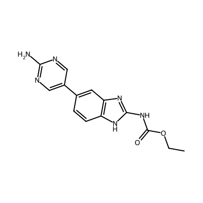 CCOC(=O)Nc1nc2cc(-c3cnc(N)nc3)ccc2[nH]1